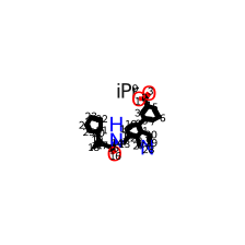 CC(C)OC(=O)c1cccc(-c2ccc(CNC(=O)C3CC3c3ccccc3)c3cnccc23)c1